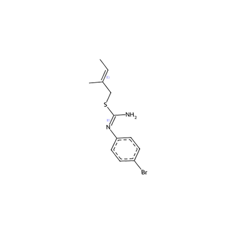 C/C=C(\C)CS/C(N)=N/c1ccc(Br)cc1